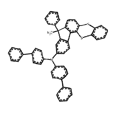 CC1(c2ccccc2)c2cc(N(c3ccc(-c4ccccc4)cc3)c3ccc(-c4ccccc4)cc3)ccc2-c2c1ccc1c2Sc2ccccc2S1